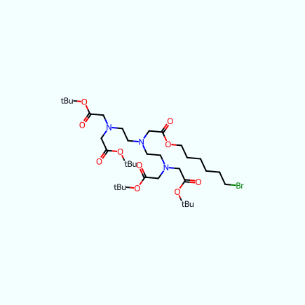 CC(C)(C)OC(=O)CN(CCN(CCN(CC(=O)OC(C)(C)C)CC(=O)OC(C)(C)C)CC(=O)OCCCCCCBr)CC(=O)OC(C)(C)C